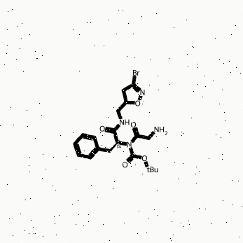 CC(C)(C)OC(=O)N(C(=O)CN)[C@@H](Cc1ccccc1)C(=O)NCC1CC(Br)=NO1